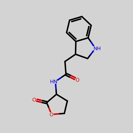 O=C(CC1CNc2ccccc21)NC1CCOC1=O